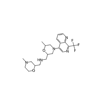 CC1CN(c2cnc(C(F)(F)F)c3ncccc23)CC(CNCC2CN(C)CCO2)O1